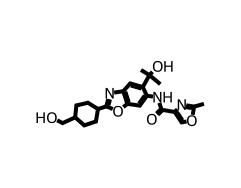 Cc1nc(C(=O)Nc2cc3oc(C4CCC(CO)CC4)nc3cc2C(C)(C)O)co1